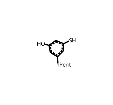 CCCCCc1cc(O)cc(S)c1